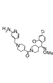 CON=C(c1ccc(Cl)cc1Cl)C1CCN(C(=O)C2CCN(Cc3ccnc(N)c3)CC2)CC1